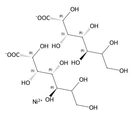 O=C([O-])[C@H](O)[C@@H](O)[C@H](O)[C@H](O)C(O)CO.O=C([O-])[C@H](O)[C@@H](O)[C@H](O)[C@H](O)C(O)CO.[Ni+2]